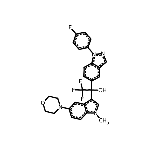 Cn1cc(C(O)(c2ccc3c(cnn3-c3ccc(F)cc3)c2)C(F)(F)F)c2cc(N3CCOCC3)ccc21